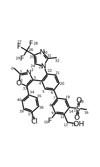 Cc1nc(-c2cc(-c3cc(F)c(CO)c(S(C)(=O)=O)c3)ccc2-n2cc(C(F)(F)F)nc2C)c(-c2ccc(Cl)cc2)o1